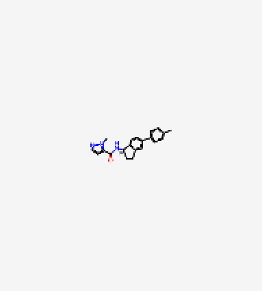 Cc1ccc(-c2ccc3c(c2)CC[C@H]3NC(=O)c2ccnn2C)cc1